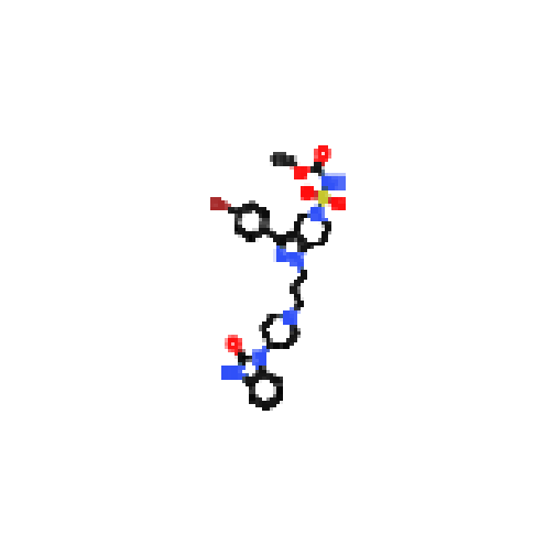 CC(C)(C)OC(=O)NS(=O)(=O)N1CCc2c(c(-c3ccc(Br)cc3)nn2CCCN2CCC(n3c(=O)[nH]c4ccccc43)CC2)C1